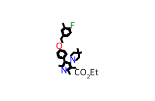 CCOC(=O)Cc1c(C)nc(C)c(-c2ccc(OCCc3ccc(F)c(C)c3)cc2)c1N1CCC(C)(C)CC1